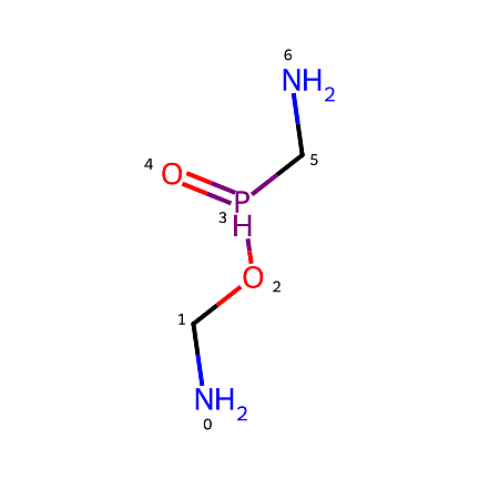 NCO[PH](=O)CN